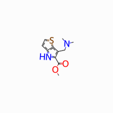 COC(=O)c1[nH]c2ccsc2c1CN(C)C